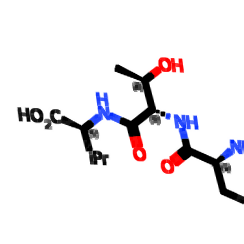 CC(C)C[C@H](N)C(=O)N[C@H](C(=O)N[C@H](C(=O)O)C(C)C)[C@@H](C)O